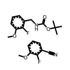 COc1cccc(C#N)c1F.COc1cccc(CNC(=O)OC(C)(C)C)c1F